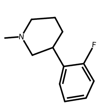 CN1CCCC(c2ccccc2F)C1